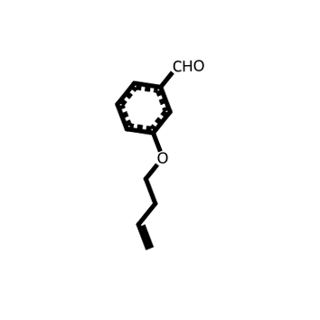 C=CCCOc1cccc(C=O)c1